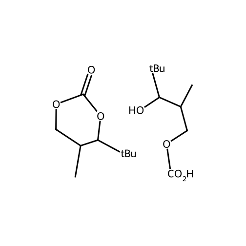 CC(COC(=O)O)C(O)C(C)(C)C.CC1COC(=O)OC1C(C)(C)C